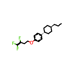 CCC[C@H]1CC[C@H](c2ccc(OCCC(F)=C(F)F)cc2)CC1